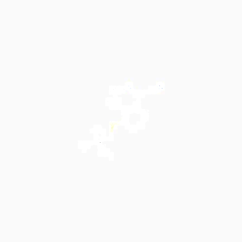 C/N=C(/C#N)c1cccc(SC[Si](C)(C)C)c1C